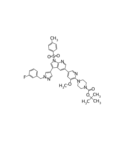 COc1cc(-c2cnc3c(c2)c(-c2cnn(Cc4cccc(F)c4)c2)cn3S(=O)(=O)c2ccc(C)cc2)cnc1N1CCN(C(=O)OC(C)(C)C)CC1